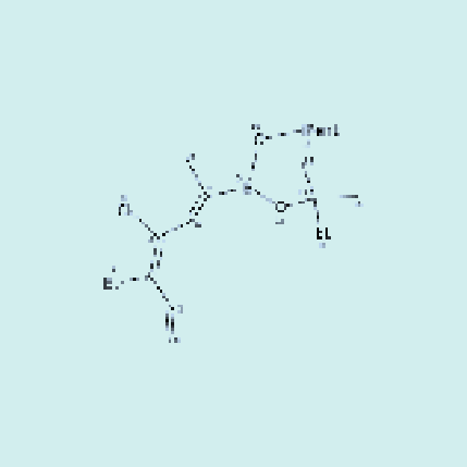 C=C/C(CC)=C(Cl)\C=C(/C)B(OC(C)CCC)OC(C)(C)CC